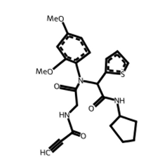 C#CC(=O)NCC(=O)N(c1ccc(OC)cc1OC)C(C(=O)NC1CCCC1)c1cccs1